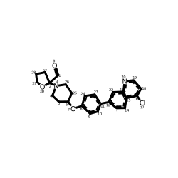 O=CC1(N2CCC(Oc3ccc(-c4ccc5c(Cl)ccnc5c4)cc3)CC2)CCCO1